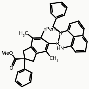 CCCCCc1c(C)c2c(c(C)c1B1Nc3cccc4cccc(c34)N1Cc1ccccc1)C[C@](C(=O)OC)(c1ccccc1)C2